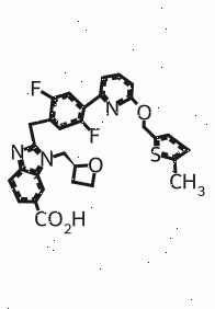 Cc1ccc(COc2cccc(-c3cc(F)c(Cc4nc5ccc(C(=O)O)cc5n4C[C@@H]4CCO4)cc3F)n2)s1